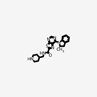 C[C@H]1Cc2ccccc2N1c1ncnc2sc(C(=O)NCC3CCNCC3)nc12